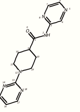 O=C(Nc1cnccn1)C1CCN(c2ncccn2)CC1